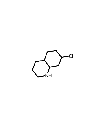 ClC1CCC2CCCNC2C1